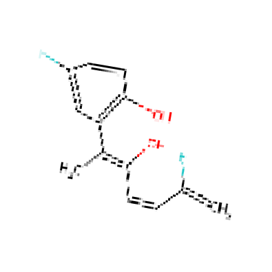 C=C(F)/C=C\C(O)=C(/C)c1cc(F)ccc1O